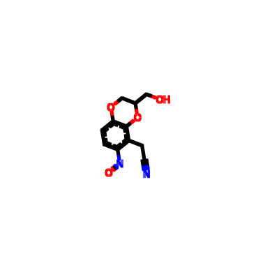 N#CCc1c(N=O)ccc2c1OC(CO)CO2